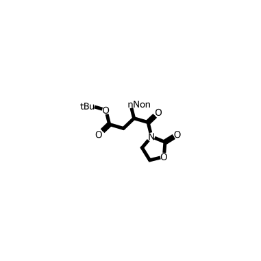 CCCCCCCCCC(CC(=O)OC(C)(C)C)C(=O)N1CCOC1=O